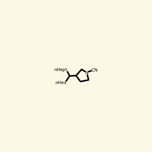 CCCCCCCC(CCCCCC)C1CCN(C#N)C1